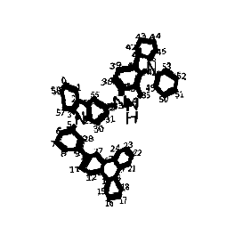 C1=Cc2c(n(-c3cccc(-c4ccc5c6ccccc6c6ccccc6c5c4)c3)c3ccc(N4NCc5c4ccc4c6ccccc6n(-c6ccccc6)c54)cc23)CC1